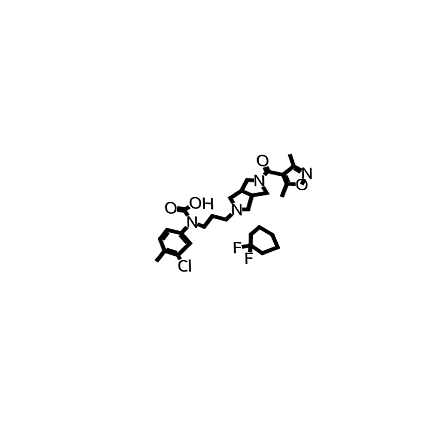 Cc1ccc(N(CCCN2CC3CN(C(=O)c4c(C)noc4C)CC3C2)C(=O)O)cc1Cl.FC1(F)CCCCC1